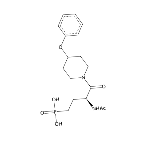 CC(=O)N[C@@H](CCP(=O)(O)O)C(=O)N1CCC(Oc2ccccc2)CC1